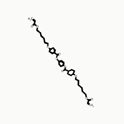 C=CC(=O)OCCCCCCOc1ccc(C(=O)Oc2ccc(OC(=O)C3CCC(OCCCCCCOC(=O)C=C)CC3)cc2)cc1